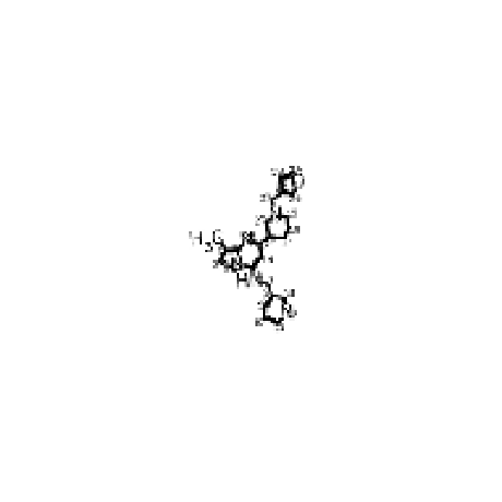 Cc1cnn2c(NCc3cccnc3)cc(C3CCCN(Cc4ccoc4)C3)nc12